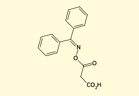 O=C(O)CC(=O)ON=C(c1ccccc1)c1ccccc1